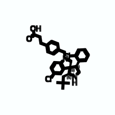 CC(C)(C)C[C@@H]1NC[C@H](c2ccccc2Cl)[C@]12CN(Cc1ccc(CCC(=O)O)cc1)c1ccc(Cl)cc12